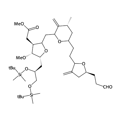 C=C1C[C@H](CCC=O)OC1CCC1C[C@@H](C)C(=C)C(CC2O[C@H](C[C@@H](CO[Si](C)(C)C(C)(C)C)O[Si](C)(C)C(C)(C)C)[C@H](OC)[C@H]2CC(=O)OC)O1